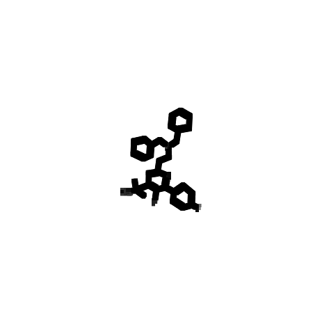 CC(C)(O)c1cc(CCN(Cc2ccccc2)Cc2ccccc2)nc(-c2ccc(F)cc2)c1F